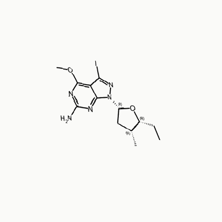 CC[C@H]1O[C@@H](n2nc(I)c3c(OC)nc(N)nc32)C[C@H]1C